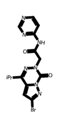 CC(C)c1nn(CC(=O)Nc2ccncn2)c(=O)n2nc(Br)cc12